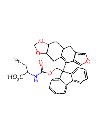 CC(C)CC(NC(=O)OCC1(C2=C3CC4OCOC4CC3Cc3cocc32)c2ccccc2-c2ccccc21)C(=O)O